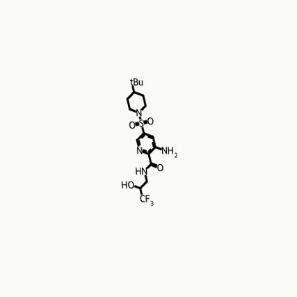 CC(C)(C)C1CCN(S(=O)(=O)c2cnc(C(=O)NCC(O)C(F)(F)F)c(N)c2)CC1